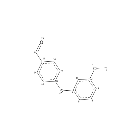 COc1cccc(Sc2ccc(C=O)cc2)c1